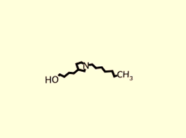 CCCCCCCN1CCC(CCCCO)C1